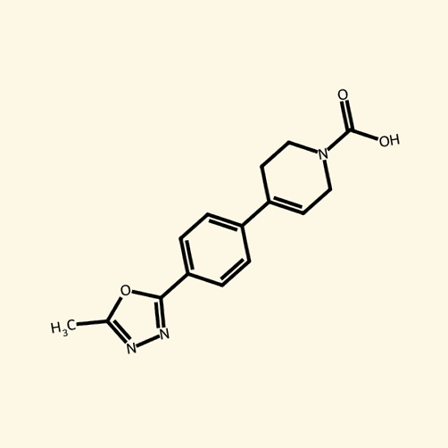 Cc1nnc(-c2ccc(C3=CCN(C(=O)O)CC3)cc2)o1